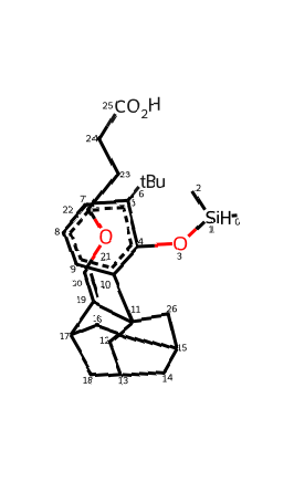 C[SiH](C)Oc1c(C(C)(C)C)cccc1C12CC3CC(CC(C3)C1=COCCCC(=O)O)C2